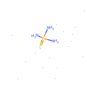 NP(N)(N)=S